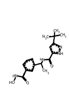 CC(NC(=O)c1cc(C(C)(C)C)n[nH]1)c1cccc(C(=O)NO)c1